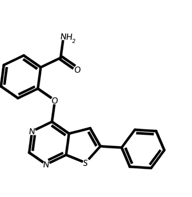 NC(=O)c1ccccc1Oc1ncnc2sc(-c3ccccc3)cc12